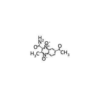 CC(=O)c1ccc2c(c1)[n+]([O-])c(C(N)=O)c(C)[n+]2[O-]